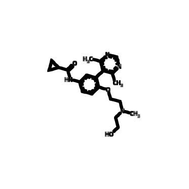 Cc1ncnc(C)c1-c1cc(NC(=O)C2CC2)ccc1OCCN(C)CCO